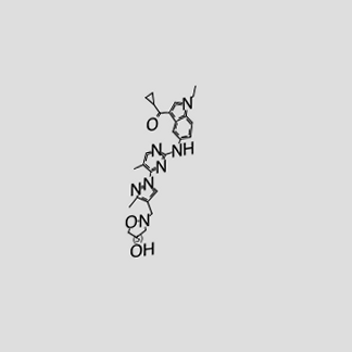 CCn1cc(C(=O)C2CC2)c2cc(Nc3ncc(C)c(-n4cc(CN5C[C@H](O)CO5)c(C)n4)n3)ccc21